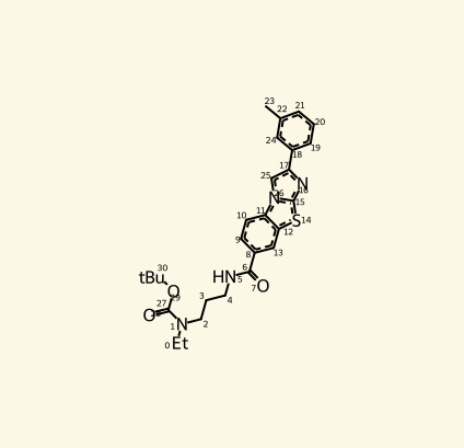 CCN(CCCNC(=O)c1ccc2c(c1)sc1nc(-c3cccc(C)c3)cn12)C(=O)OC(C)(C)C